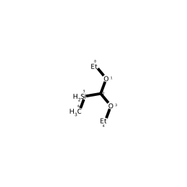 CCOC(OCC)[SiH2]C